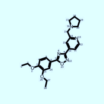 CCOc1ccc(-c2nc(-c3ccnc(CN4CCCC4)c3)no2)cc1OCC